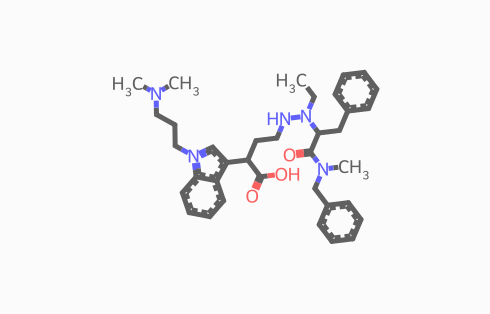 CCN(NCCC(C(=O)O)c1cn(CCCN(C)C)c2ccccc12)C(Cc1ccccc1)C(=O)N(C)Cc1ccccc1